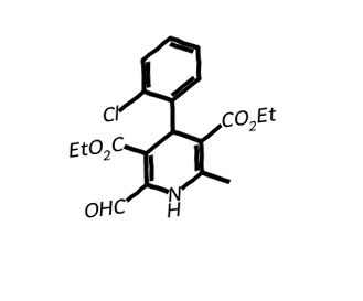 CCOC(=O)C1=C(C)NC(C=O)=C(C(=O)OCC)C1c1ccccc1Cl